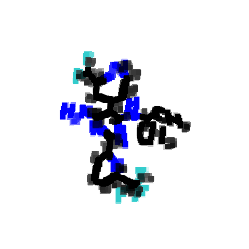 CC(C)Nc1nc(-c2cccc(C(F)(F)F)n2)nc(N)c1-c1ccnc(C(F)F)c1